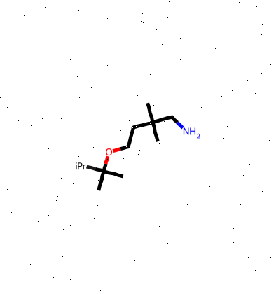 CC(C)C(C)(C)OCCC(C)(C)CN